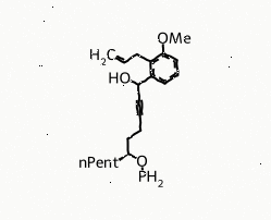 C=CCc1c(OC)cccc1C(O)C#CCC[C@H](CCCCC)OP